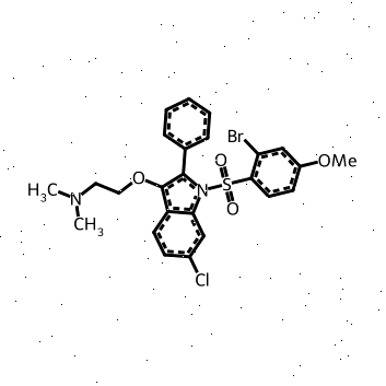 COc1ccc(S(=O)(=O)n2c(-c3ccccc3)c(OCCN(C)C)c3ccc(Cl)cc32)c(Br)c1